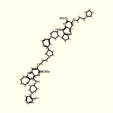 COc1nc2c(NC3CCN(c4ccnc(C5CCN(CCCOc6cc7nc8c(c(NC9CCN(c%10ccncc%10F)CC9)c7nc6OC)CCCCC8)C5)c4)CC3)c3c(nc2cc1OCCCN1CCCC1)CCC3